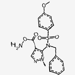 COc1ccc(S(=O)(=O)N(Cc2ccccc2)c2c(C(=O)ON)cnn2C)cc1